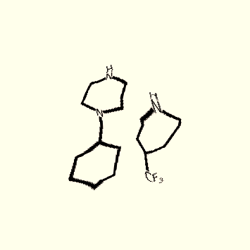 C1CCC(N2CCNCC2)CC1.FC(F)(F)C1CCNCC1